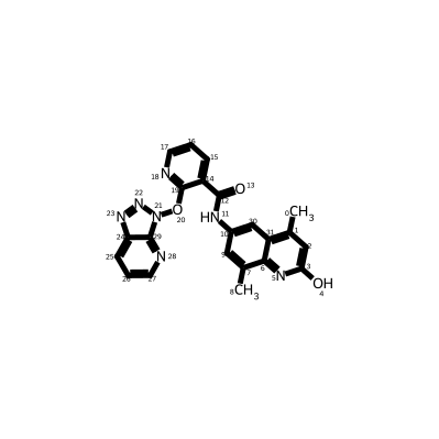 Cc1cc(O)nc2c(C)cc(NC(=O)c3cccnc3On3nnc4cccnc43)cc12